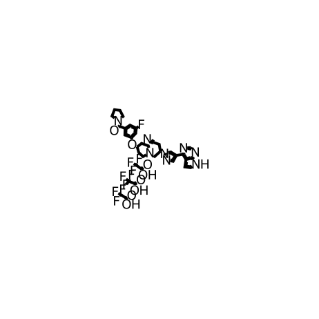 N#CCC(CN1CCC(Oc2cc(F)cc(C(=O)N3CCCC3)c2)CC1)n1cc(-c2ncnc3[nH]ccc23)cn1.O=C(O)C(F)(F)F.O=C(O)C(F)(F)F.O=C(O)C(F)(F)F